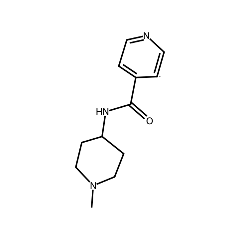 CN1CCC(NC(=O)c2[c]cncc2)CC1